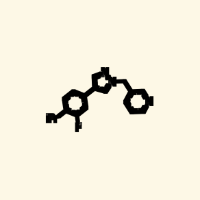 CC(C)c1ccc(-c2cnn(Cc3cccnc3)c2)cc1F